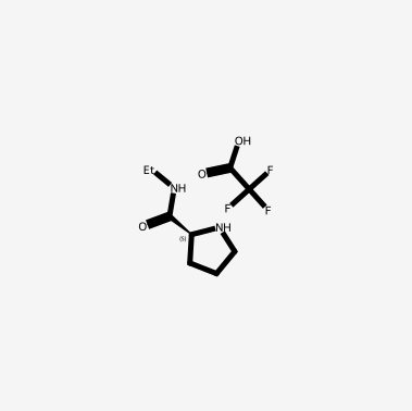 CCNC(=O)[C@@H]1CCCN1.O=C(O)C(F)(F)F